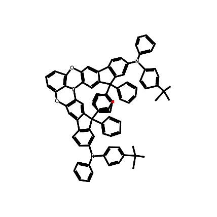 CC(C)(C)c1ccc(N(c2ccccc2)c2ccc3c(c2)C(c2ccccc2)(c2ccccc2)c2cc4c(cc2-3)Oc2cccc3c2B4c2cc4c(cc2O3)-c2ccc(N(c3ccccc3)c3ccc(C(C)(C)C)cc3)cc2C4(c2ccccc2)c2ccccc2)cc1